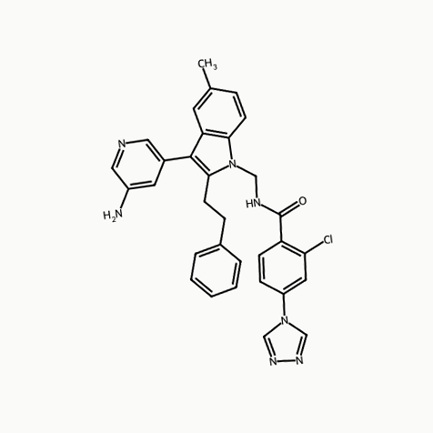 Cc1ccc2c(c1)c(-c1cncc(N)c1)c(CCc1ccccc1)n2CNC(=O)c1ccc(-n2cnnc2)cc1Cl